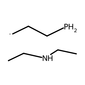 CCNCC.[CH2]CCP